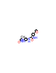 Cc1cc(=O)[nH]n1-c1ccc(NC=C2C(=O)Nc3cc(-c4ccco4)ccc32)cc1